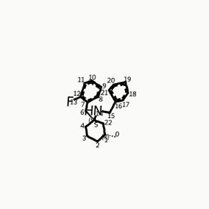 C[C@@H]1CCC[C@](Cc2ccccc2F)(NCc2ccccc2)C1